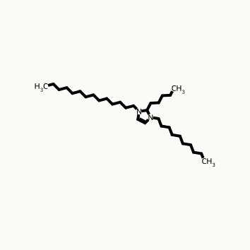 CCCCCCCCCCCCCCN1C=CN(CCCCCCCCCC)C1CCCCC